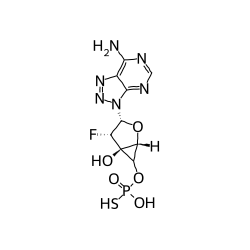 Nc1ncnc2c1nnn2[C@@H]1O[C@@H]2C(OP(=O)(O)S)[C@]2(O)[C@@H]1F